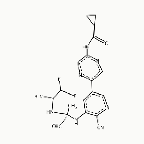 CC(N[C@](C)(C=O)Nc1cc(-c2cnc(NC(=O)C3CC3)cn2)cnc1C#N)C(F)F